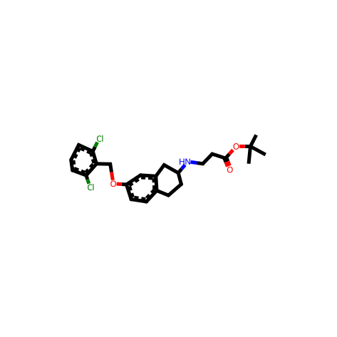 CC(C)(C)OC(=O)CCNC1CCc2ccc(OCc3c(Cl)cccc3Cl)cc2C1